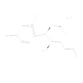 CCCC[C@@H](O)[C@H](OC(N)=O)c1ccc(Cl)cc1Cl